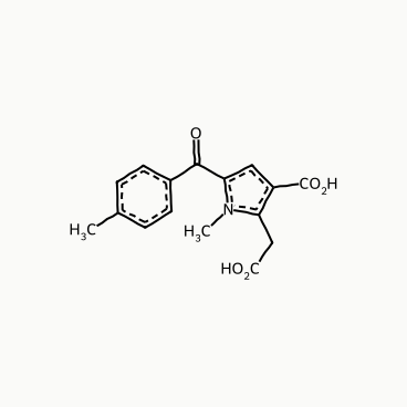 Cc1ccc(C(=O)c2cc(C(=O)O)c(CC(=O)O)n2C)cc1